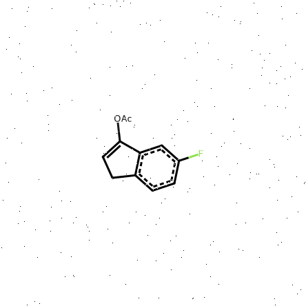 CC(=O)OC1=CCc2ccc(F)cc21